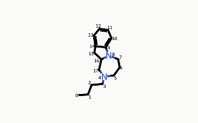 CCCCN1CCCN2c3ccccc3CC2C1